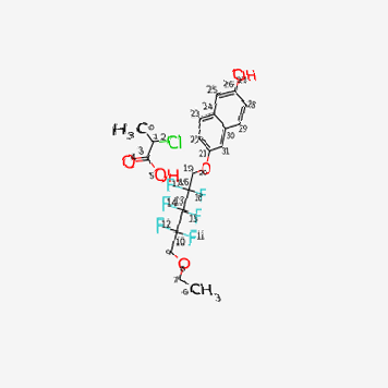 CC(Cl)C(=O)O.CCOCC(F)(F)C(F)(F)C(F)(F)COc1ccc2cc(O)ccc2c1